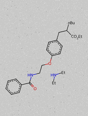 CCCCC(Cc1ccc(OCCNC(=O)c2ccccc2)cc1)C(=O)OCC.CCNCC